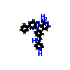 Nc1ncccc1-c1nc2ccc(-c3ccccc3)nc2n1-c1ccc(CNC2CCNCC2)cc1